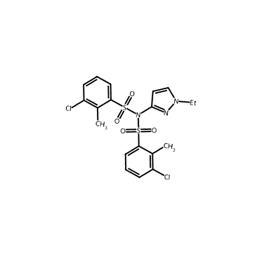 CCn1ccc(N(S(=O)(=O)c2cccc(Cl)c2C)S(=O)(=O)c2cccc(Cl)c2C)n1